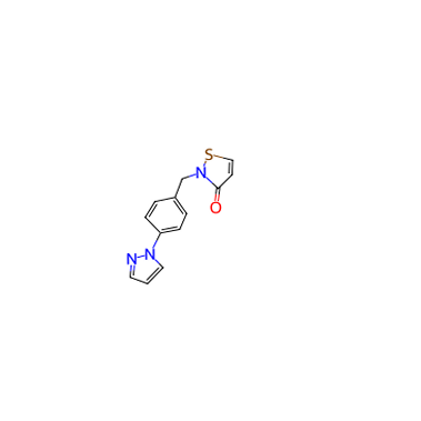 O=c1ccsn1Cc1ccc(-n2cccn2)cc1